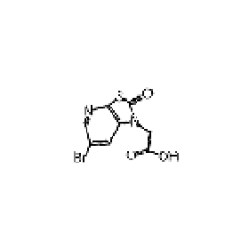 O=C(O)Cn1c(=O)sc2ncc(Br)cc21